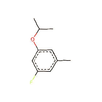 Cc1cc(F)cc(OC(C)C)c1